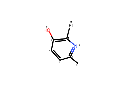 CCc1nc(C)ccc1O